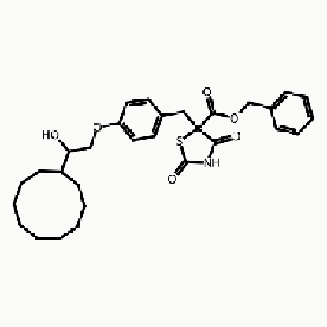 O=C1NC(=O)C(Cc2ccc(OCC(O)C3CCCCCCCCC3)cc2)(C(=O)OCc2ccccc2)S1